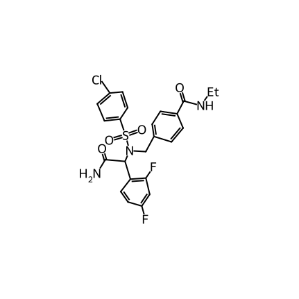 CCNC(=O)c1ccc(CN(C(C(N)=O)c2ccc(F)cc2F)S(=O)(=O)c2ccc(Cl)cc2)cc1